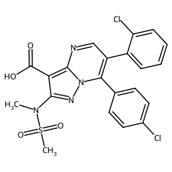 CN(c1nn2c(-c3ccc(Cl)cc3)c(-c3ccccc3Cl)cnc2c1C(=O)O)S(C)(=O)=O